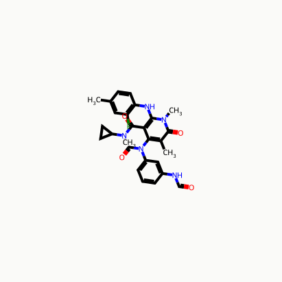 Cc1ccc(Nc2c(C(=O)N(C)C3CC3)c(N(C=O)c3cccc(NC=O)c3)c(C)c(=O)n2C)c(F)c1